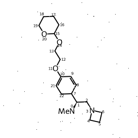 CN[C@H](CN1CCC1)C1C=CC(OCCOC2CCCCO2)=CC1